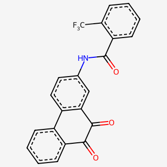 O=C1C(=O)c2cc(NC(=O)c3ccccc3C(F)(F)F)ccc2-c2ccccc21